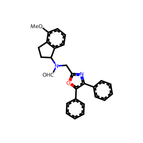 COc1cccc2c1CCC2N(C=O)Cc1nc(-c2ccccc2)c(-c2ccccc2)o1